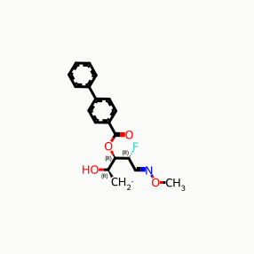 [CH2][C@@H](O)[C@@H](OC(=O)c1ccc(-c2ccccc2)cc1)[C@H](F)C=NOC